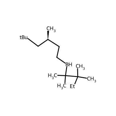 CCC(C)(C)C(C)(C)BCC[C@H](C)CC(C)(C)C